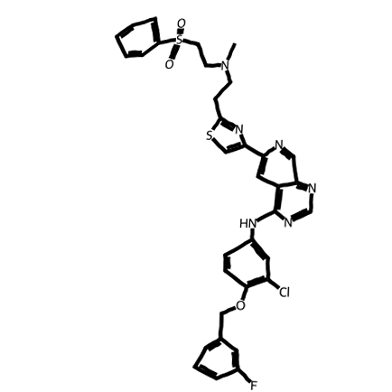 CN(CCc1nc(-c2cc3c(Nc4ccc(OCc5cccc(F)c5)c(Cl)c4)ncnc3cn2)cs1)CCS(=O)(=O)c1ccccc1